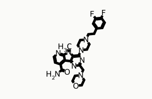 Cn1c2nccc(C(N)=O)c2c2nc(CN3CCOCC3)nc(N3CCN(CCc4ccc(F)c(F)c4)CC3)c21